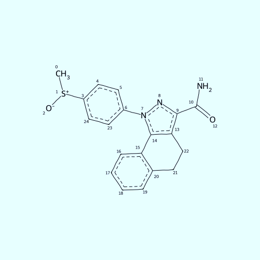 C[S+]([O-])c1ccc(-n2nc(C(N)=O)c3c2-c2ccccc2CC3)cc1